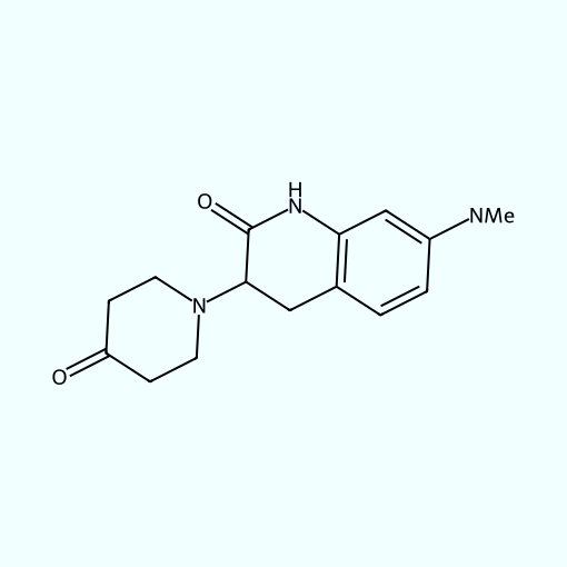 CNc1ccc2c(c1)NC(=O)C(N1CCC(=O)CC1)C2